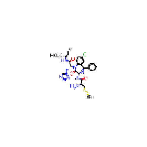 CC(C)C[C@H](NC(=O)CN1C(=O)C(N(C)C(=O)C(N)CSSC(C)(C)C)N=C(c2ccccc2)c2cc(Cl)ccc21)C(=O)O.c1nnn[nH]1